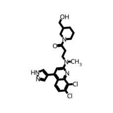 CN(CCC(=O)N1CCCC(CO)C1)c1cc(-c2cn[nH]c2)c2ccc(Cl)c(Cl)c2n1